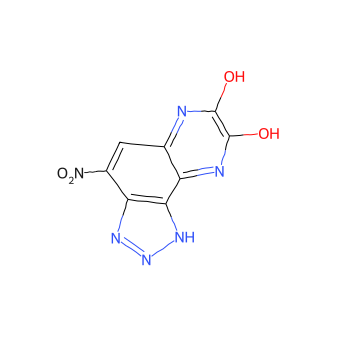 O=[N+]([O-])c1cc2nc(O)c(O)nc2c2[nH]nnc12